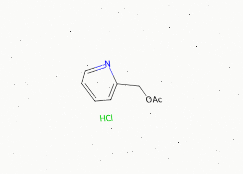 CC(=O)OCc1ccccn1.Cl